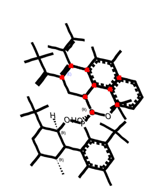 C=C(/C=C(\C(C)=C(C)C)c1c(C)c(C)cc(C(C)(C)C)c1O[P@@](O)Oc1ccccc1C1CCCCC1OP1O[C@H]2C(c3c(C)c(C)cc(C(C)(C)C)c31)[C@H](C)C(C)CC2C(C)(C)C)C(C)(C)C